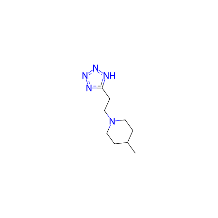 CC1CCN(CCc2nnn[nH]2)CC1